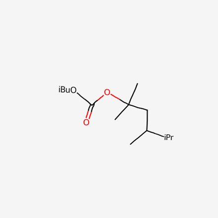 CC(C)COC(=O)OC(C)(C)CC(C)C(C)C